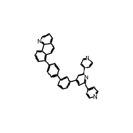 c1cc(-c2ccc(-c3cccc4c3ccc3cccnc34)cc2)cc(-c2cc(-c3ccncc3)nc(-c3ccncc3)c2)c1